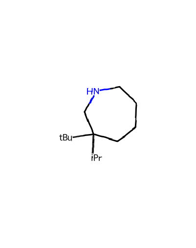 CC(C)C1(C(C)(C)C)CCCCNC1